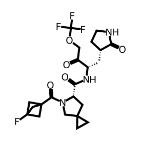 O=C1NCC[C@H]1C[C@H](NC(=O)[C@@H]1CC2(CC2)CN1C(=O)C12CC(F)(C1)C2)C(=O)COC(F)(F)F